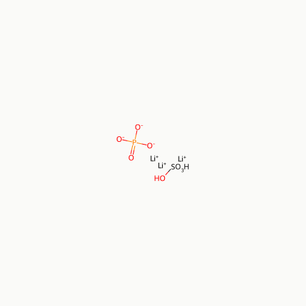 O=P([O-])([O-])[O-].O=S(=O)(O)O.[Li+].[Li+].[Li+]